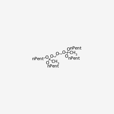 CCCCCOC(C)(OCCCCC)OCOCOC(C)(OCCCCC)OCCCCC